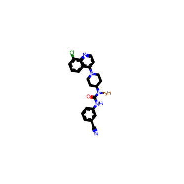 N#Cc1cccc(NC(=O)N(S)C2CCN(c3ccnc4c(Cl)cccc34)CC2)c1